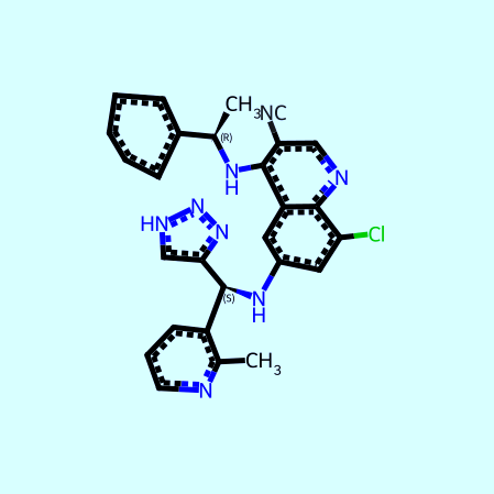 Cc1ncccc1[C@H](Nc1cc(Cl)c2ncc(C#N)c(N[C@H](C)c3ccccc3)c2c1)c1c[nH]nn1